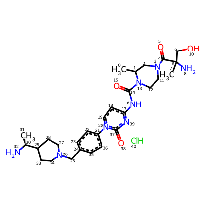 CC1CN(C(=O)C(C)(N)CO)CCN1C(=O)Nc1ccn(-c2ccc(CN3CCC([C@H](C)N)CC3)cc2)c(=O)n1.Cl